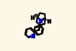 c1ccc(N2[C@@H]3CC[C@H]2C[C@@H](Cc2ccccn2)C3)cc1